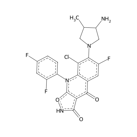 CC1CN(c2c(F)cc3c(=O)c4c(=O)[nH]oc4n(-c4ccc(F)cc4F)c3c2Cl)CC1N